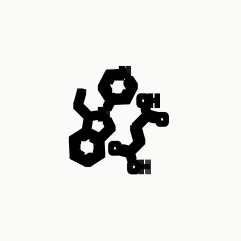 CCC1c2ccccc2CN1c1ccncc1.O=C(O)C=CC(=O)O